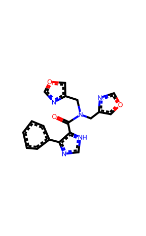 O=C(c1[nH]cnc1-c1ccccc1)N(Cc1cocn1)Cc1cocn1